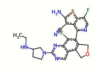 CCNC1CCN(c2ncc3c4c(c(-c5ncc(F)c6sc(N)c(C#N)c56)c(F)c3n2)COC4)C1